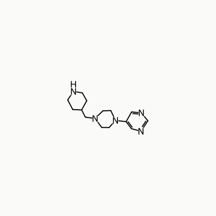 c1ncc(N2CCN(CC3CCNCC3)CC2)cn1